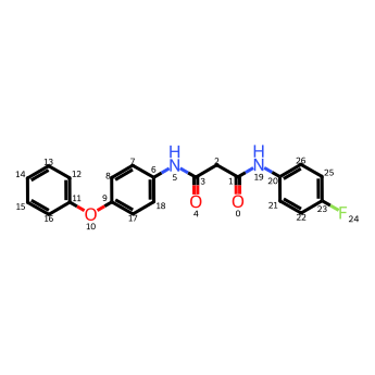 O=C(CC(=O)Nc1ccc(Oc2ccccc2)cc1)Nc1ccc(F)cc1